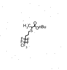 CCCCOC(=O)C(C)SCCCC(F)(F)C(F)(F)C(F)(F)F